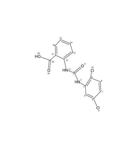 O=C(Nc1cc(Cl)ccc1Cl)Nc1ccccc1C(=O)O